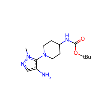 Cn1ncc(N)c1N1CCC(NC(=O)OC(C)(C)C)CC1